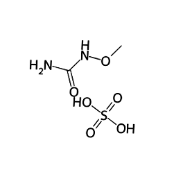 CONC(N)=O.O=S(=O)(O)O